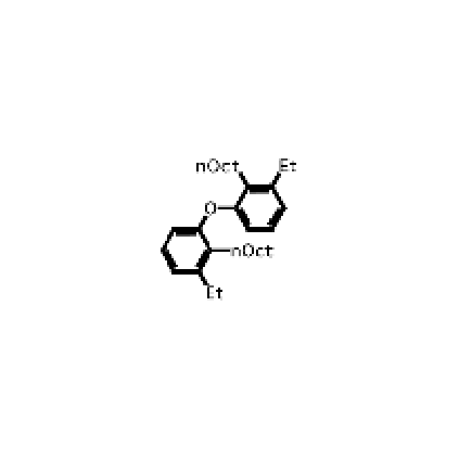 CCCCCCCCc1c(CC)cccc1Oc1cccc(CC)c1CCCCCCCC